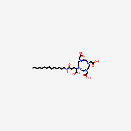 CCCCCCCCCCCCCCNC(=O)CCC(C(=O)O)N1CCN(CC(=O)O)CCN(CC(=O)O)CCN(CC(=O)O)CC1